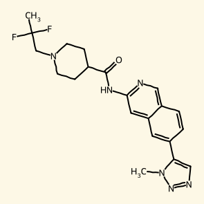 Cn1nncc1-c1ccc2cnc(NC(=O)C3CCN(CC(C)(F)F)CC3)cc2c1